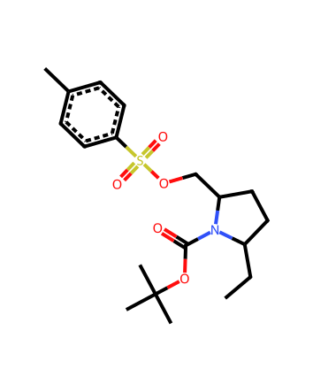 CCC1CCC(COS(=O)(=O)c2ccc(C)cc2)N1C(=O)OC(C)(C)C